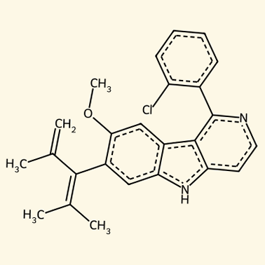 C=C(C)C(=C(C)C)c1cc2[nH]c3ccnc(-c4ccccc4Cl)c3c2cc1OC